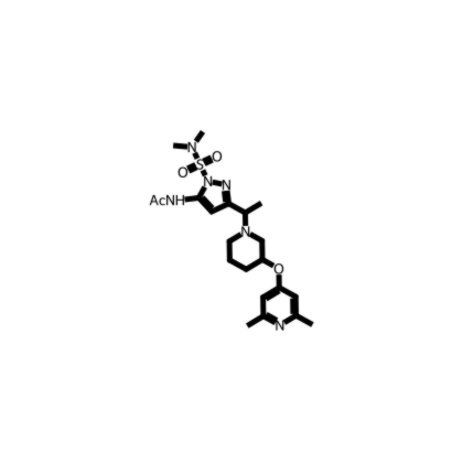 CC(=O)Nc1cc(C(C)N2CCCC(Oc3cc(C)nc(C)c3)C2)nn1S(=O)(=O)N(C)C